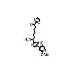 COc1cc(-c2cnc([C@@H](N)CCCCCC(=O)c3ncco3)[nH]2)c(F)cn1